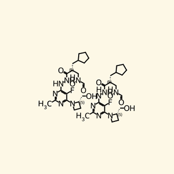 Cc1nc(NNC(=O)[C@H](CC2CCCC2)CN(O)C=O)c(F)c(N2CC[C@H]2CO)n1.Cc1nc(NNC(=O)[C@H](CC2CCCC2)CN(O)C=O)c(F)c(N2CC[C@H]2CO)n1